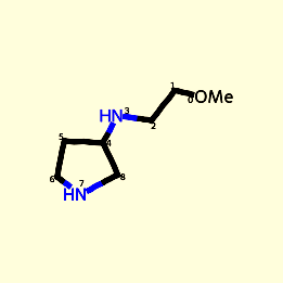 COCCNC1CCNC1